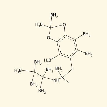 Bc1c(B)c2c(c(B)c1CC(B)(C)NC(B)(B)C(B)(B)B)OC(B)(B)O2